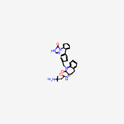 CC(C)(N)CC(=O)N[C@@H]1CCc2ccccc2N(Cc2ccc(-c3ccccc3-n3nc[nH]c3=O)cc2)C1=O